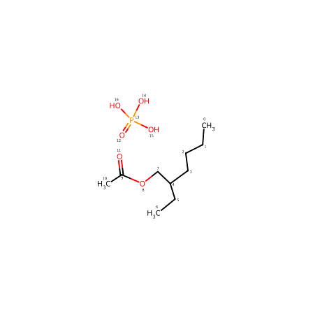 CCCCC(CC)COC(C)=O.O=P(O)(O)O